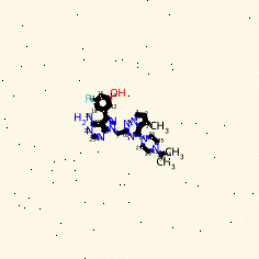 Cc1ccn2nc(Cn3nc(-c4cc(O)cc(F)c4)c4c(N)ncnc43)nc(N3CCN(C(C)C)CC3)c12